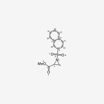 COC(=O)C1CN1S(=O)(=O)c1ccc2ccccc2c1